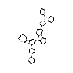 C1=CCc2sc3c(-c4ccc(-c5ccccc5)cc4)cc(-n4c5ccccc5c5cc(-c6ccc7c(c6)c6ccccc6n7-c6ccccc6)ccc54)cc3c2C=C1